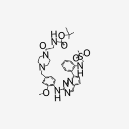 COc1cc(CN2CCN(C(=O)CNC(=O)OC(C)(C)C)CC2)ccc1Nc1ncc2ccc(-c3ccccc3NCS(C)(=O)=O)n2n1